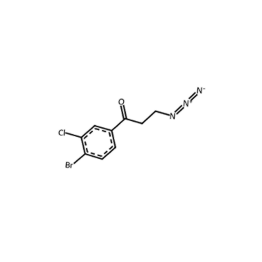 [N-]=[N+]=NCCC(=O)c1ccc(Br)c(Cl)c1